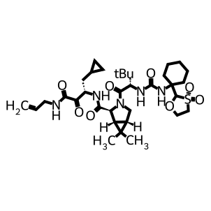 C=CCNC(=O)C(=O)[C@H](CC1CC1)NC(=O)[C@@H]1[C@@H]2[C@H](CN1C(=O)[C@@H](NC(=O)NC1(C3OCCS3(=O)=O)CCCCC1)C(C)(C)C)C2(C)C